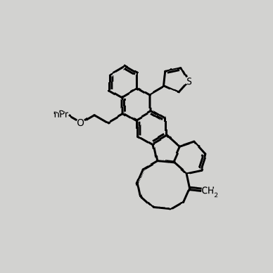 C=C1CCCCCCC2c3cc4c(cc3C3CC=CC1C32)C(C1C=CSC1)C1C=CC=CC1=C4CCOCCC